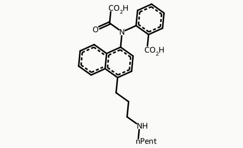 CCCCCNCCCc1ccc(N(C(=O)C(=O)O)c2ccccc2C(=O)O)c2ccccc12